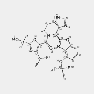 CC(C)(O)c1nc(C(F)F)c(C(=O)N2CCc3[nH]cnc3[C@H]2c2nc3c(OC(F)(F)F)cccc3o2)o1